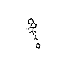 O=S(=O)(CCNCc1ccco1)c1ccc2ccccc2c1Cl